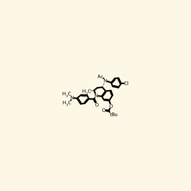 CC(=O)N(c1ccc(Cl)cc1)[C@H]1C[C@@H](C)N(C(=O)c2ccc(N(C)C)cc2)c2cc(OC(=O)C(C)(C)C)ccc21